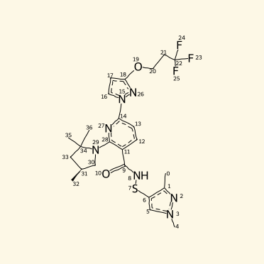 Cc1nn(C)cc1SNC(=O)c1ccc(-n2ccc(OCCC(F)(F)F)n2)nc1N1C[C@@H](C)CC1(C)C